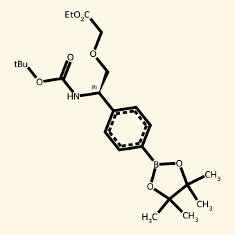 CCOC(=O)COC[C@H](NC(=O)OC(C)(C)C)c1ccc(B2OC(C)(C)C(C)(C)O2)cc1